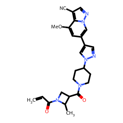 C=CC(=O)N1CC(C(=O)N2CCC(n3cc(-c4cc(OC)c5c(C#N)cnn5c4)cn3)CC2)C1C